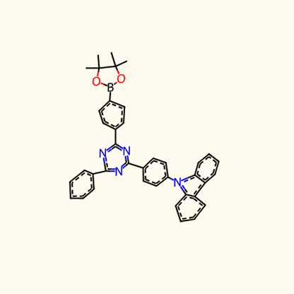 CC1(C)OB(c2ccc(-c3nc(-c4ccccc4)nc(-c4ccc(-n5c6ccccc6c6ccccc65)cc4)n3)cc2)OC1(C)C